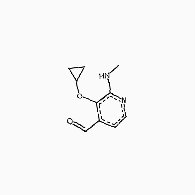 CNc1nccc(C=O)c1OC1CC1